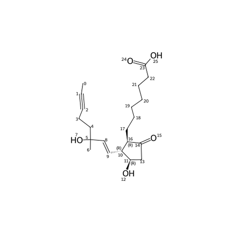 CC#CCCC(C)(O)C=C[C@H]1[C@H](O)CC(=O)[C@@H]1CCCCCCC(=O)O